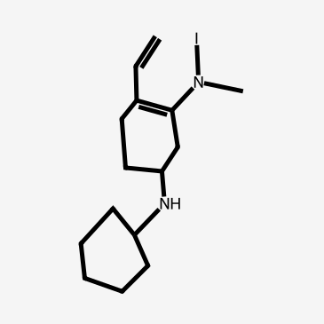 C=CC1=C(N(C)I)CC(NC2CCCCC2)CC1